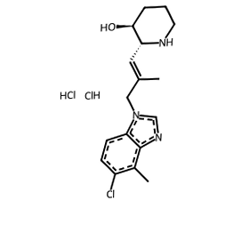 C/C(=C\[C@H]1NCCC[C@@H]1O)Cn1cnc2c(C)c(Cl)ccc21.Cl.Cl